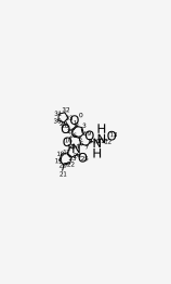 COc1ccc(C(CC(=O)NNC=O)N2C(=O)c3ccc(C)cc3C2=O)cc1OC1CCCC1